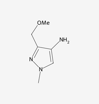 COCc1nn(C)cc1N